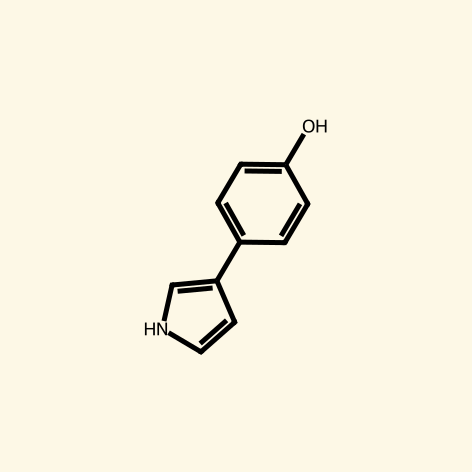 Oc1ccc(-c2cc[nH]c2)cc1